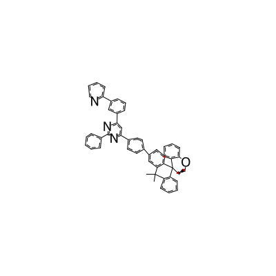 CC1(C)c2ccccc2C2(c3ccccc3Oc3ccccc32)c2ccc(-c3ccc(-c4cc(-c5cccc(-c6ccccn6)c5)nc(-c5ccccc5)n4)cc3)cc21